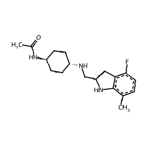 CC(=O)N[C@H]1CC[C@H](NCC2Cc3c(F)ccc(C)c3N2)CC1